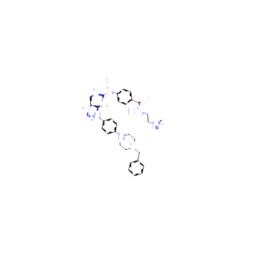 CCN(CC)CCNC(=O)c1ccc(Nc2ncc3nnn(-c4ccc(N5CCN(Cc6ccccc6)CC5)cc4)c3n2)cc1